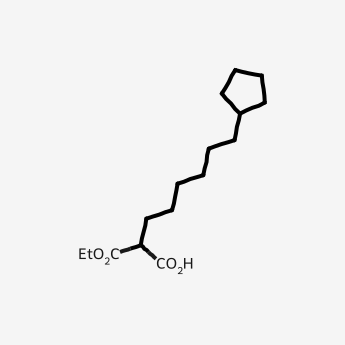 CCOC(=O)C(CCCCCCC1CCCC1)C(=O)O